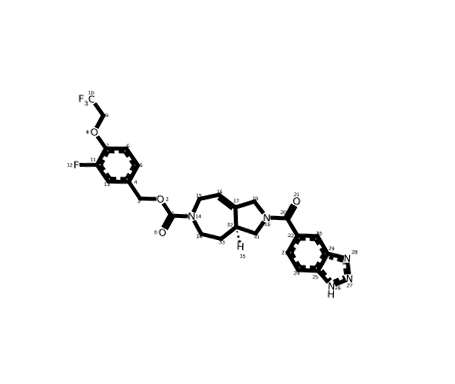 O=C(OCc1ccc(OCC(F)(F)F)c(F)c1)N1CC=C2CN(C(=O)c3ccc4[nH]nnc4c3)C[C@H]2CC1